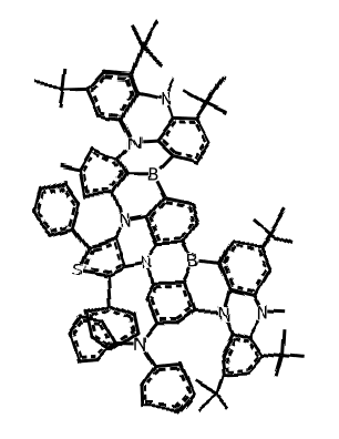 Cc1cc2c3c(c1)N1c4c(ccc5c4N(c4cc(N(c6ccccc6)c6ccccc6)cc6c4B5c4cc(C(C)(C)C)cc5c4N6c4cc(C(C)(C)C)cc(C(C)(C)C)c4N5C)c4c(-c5ccccc5)sc(-c5ccccc5)c41)B3c1ccc(C(C)(C)C)c3c1N2c1cc(C(C)(C)C)cc(C(C)(C)C)c1N3C